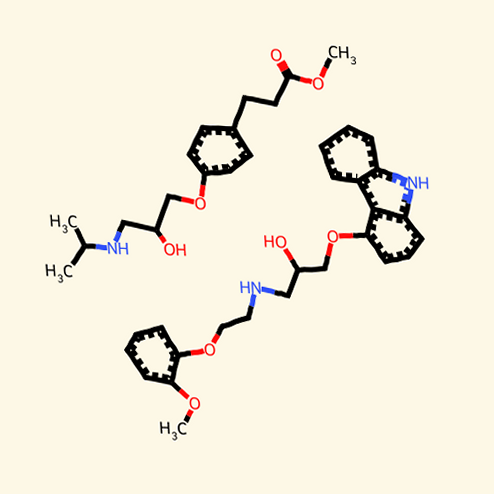 COC(=O)CCc1ccc(OCC(O)CNC(C)C)cc1.COc1ccccc1OCCNCC(O)COc1cccc2[nH]c3ccccc3c12